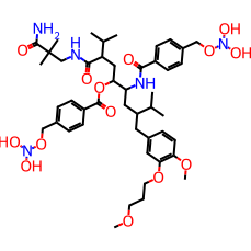 COCCCOc1cc(CC(CC(NC(=O)c2ccc(CON(O)O)cc2)C(CC(C(=O)NCC(C)(C)C(N)=O)C(C)C)OC(=O)c2ccc(CON(O)O)cc2)C(C)C)ccc1OC